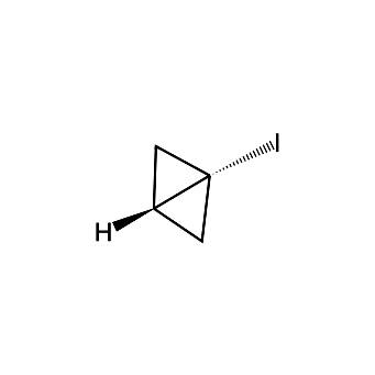 I[C@]12C[C@@H]1C2